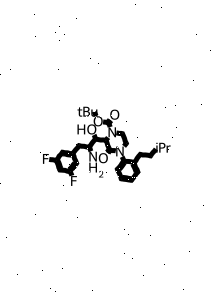 CC(C)CCc1ccccc1N1CCN(C(=O)OC(C)(C)C)C(C(O)C(N)Cc2cc(F)cc(F)c2)C1=O